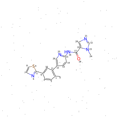 Cc1ccc(-c2nccs2)cc1-c1ccc(NC(=O)c2cncn2C)nc1